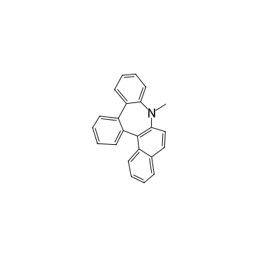 CN1c2ccccc2-c2ccccc2-c2c1ccc1ccccc21